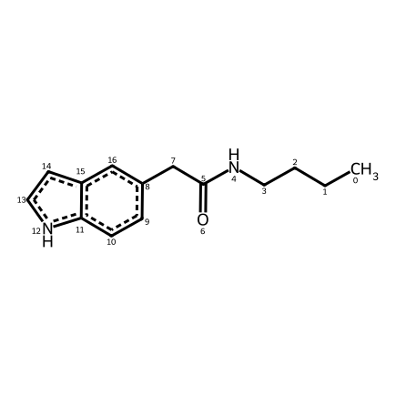 CCCCNC(=O)Cc1ccc2[nH]ccc2c1